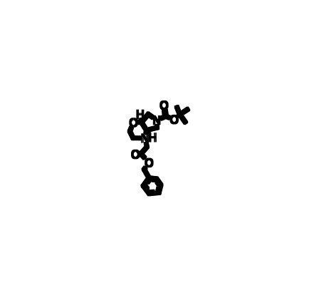 CC(C)(C)OC(=O)N1C[C@H]2OCCN(CC(=O)OCc3ccccc3)[C@H]2C1